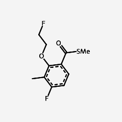 CSC(=O)c1ccc(F)c(C)c1OCCF